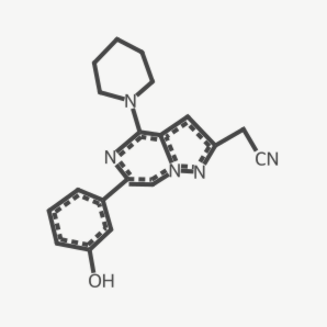 N#CCc1cc2c(N3CCCCC3)nc(-c3cccc(O)c3)cn2n1